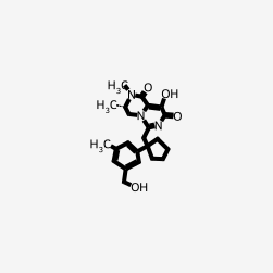 Cc1cc(CO)cc(C2(Cc3nc(=O)c(O)c4n3C[C@H](C)N(C)C4=O)CCCC2)c1